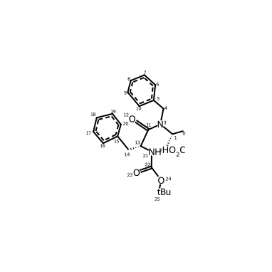 C[C@H](C(=O)O)N(Cc1ccccc1)C(=O)[C@@H](Cc1ccccc1)NC(=O)OC(C)(C)C